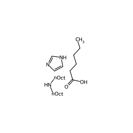 CCCCCC(=O)O.CCCCCCCCNCCCCCCCC.c1c[nH]cn1